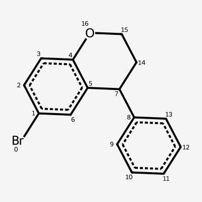 Brc1ccc2c(c1)C(c1ccccc1)CCO2